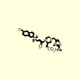 C/N=c1\scc(CN2CCN(C(=O)CCS(=O)(=O)c3ccc4cc(Cl)ccc4c3)C(CC(=O)O)C2)n1C